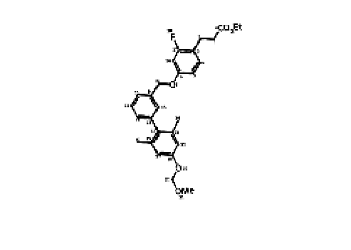 CCOC(=O)CCc1ccc(OCc2cccc(-c3c(C)cc(OCOC)cc3C)c2)cc1F